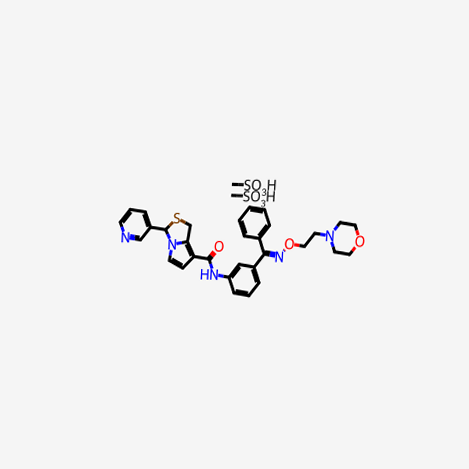 CS(=O)(=O)O.CS(=O)(=O)O.O=C(Nc1cccc(/C(=N/OCCN2CCOCC2)c2ccccc2)c1)c1ccn2c1CSC2c1cccnc1